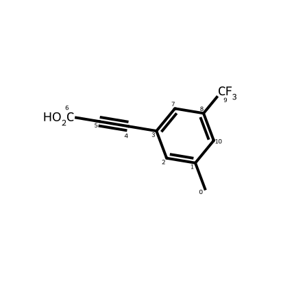 Cc1cc(C#CC(=O)O)cc(C(F)(F)F)c1